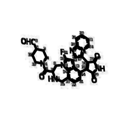 O=CC1CCN(C(=O)C2Cn3c(F)cc4c(C5=C(c6cnc7ccccn67)C(=O)NC5=O)ccc(c43)CN2)CC1